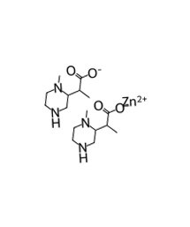 CC(C(=O)[O-])C1CNCCN1C.CC(C(=O)[O-])C1CNCCN1C.[Zn+2]